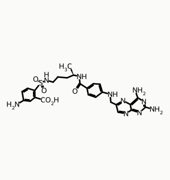 C[C@H](CCCNS(=O)(=O)c1ccc(N)cc1C(=O)O)NC(=O)c1ccc(NCc2cnc3nc(N)nc(N)c3n2)cc1